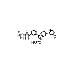 COc1cc(-c2ccn3c(-c4cccc(NC(=O)NCC(F)(F)F)c4)cnc3c2)ncn1.O=CO